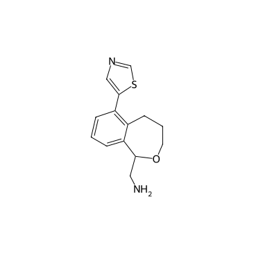 NCC1OCCCc2c(-c3cncs3)cccc21